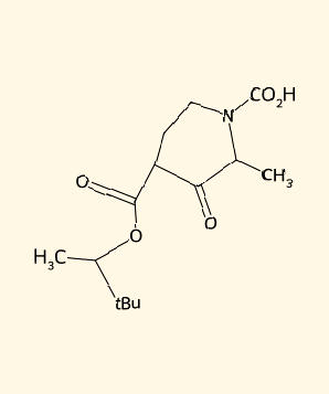 CC1C(=O)C(C(=O)OC(C)C(C)(C)C)CCN1C(=O)O